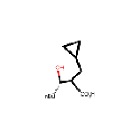 CCCC[C@H](O)C(CC1CC1)C(=O)O